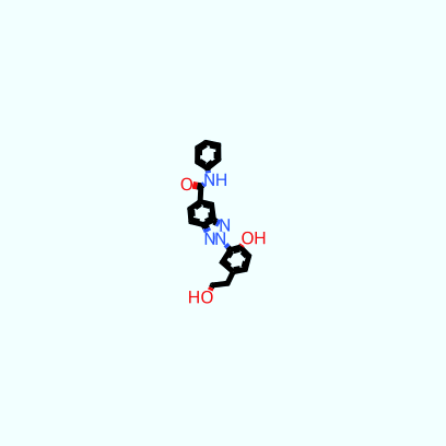 O=C(Nc1ccccc1)c1ccc2nn(-c3cc(CCO)ccc3O)nc2c1